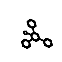 Clc1c(-c2ccccc2)cc(-c2ccccc2)cc1-c1ccccc1